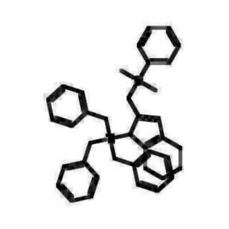 C[Si](C)(CC1=CC2=C(CCCC2)[CH]1[Ti]([CH2]c1ccccc1)([CH2]c1ccccc1)[CH2]c1ccccc1)c1ccccc1